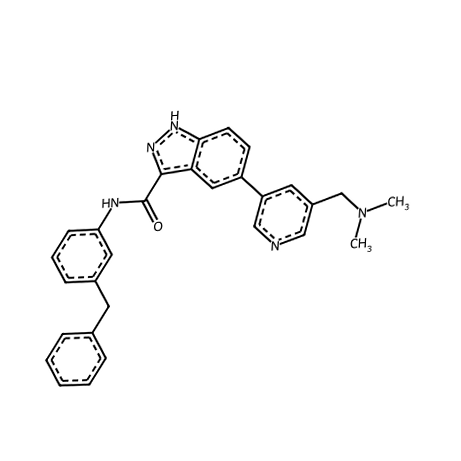 CN(C)Cc1cncc(-c2ccc3[nH]nc(C(=O)Nc4cccc(Cc5ccccc5)c4)c3c2)c1